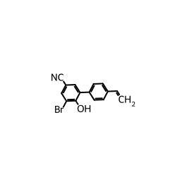 C=Cc1ccc(-c2cc(C#N)cc(Br)c2O)cc1